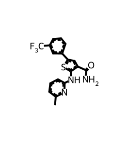 Cc1cccc(Nc2sc(-c3cccc(C(F)(F)F)c3)cc2C(N)=O)n1